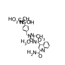 Cc1nn(Cc2ccc([SH](C)(O)=NC(=O)O)cc2)c(C)c1NC(=O)c1cc(C(N)=O)nc2ccccc12